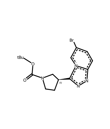 CC(C)(C)OC(=O)N1CC[C@H](c2nnc3ccc(Br)cn23)C1